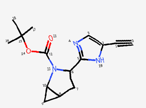 C#Cc1cnc(C2CC3CC3N2C(=O)OC(C)(C)C)[nH]1